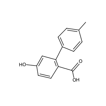 Cc1ccc(-c2cc(O)ccc2C(=O)O)cc1